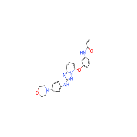 C=CC(=O)Nc1cccc(Oc2cccc3nc(Nc4ccc(N5CCOCC5)cc4)nn23)c1